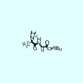 C[C@H](N)C(=O)NNC(=O)OC(C)(C)C